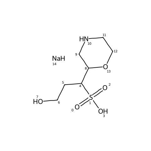 O=S(=O)(O)C(CCO)C1CNCCO1.[NaH]